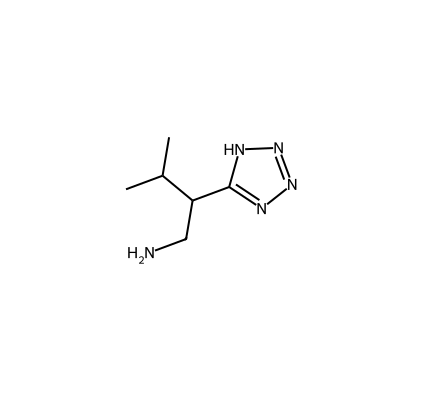 CC(C)C(CN)c1nnn[nH]1